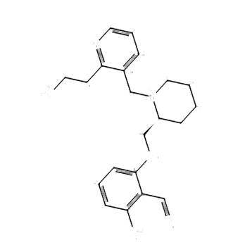 O=Cc1c(O)cccc1OC[C@@H]1CCCCN1Cc1cccnc1CCO